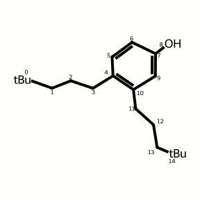 CC(C)(C)CCCc1ccc(O)cc1CCCC(C)(C)C